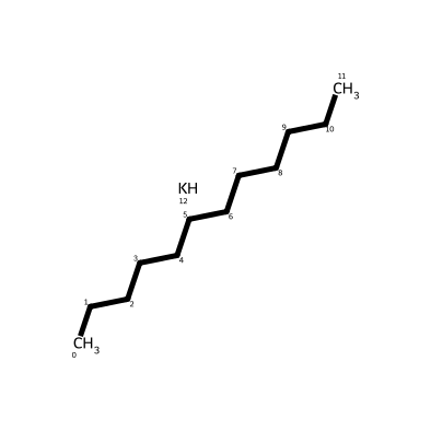 CCCCCCCCCCCC.[KH]